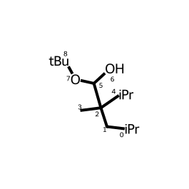 CC(C)CC(C)(C(C)C)C(O)OC(C)(C)C